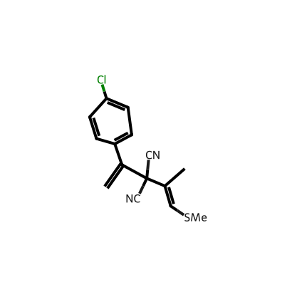 C=C(c1ccc(Cl)cc1)C(C#N)(C#N)C(C)=CSC